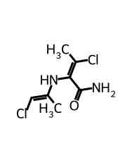 C/C(=C\Cl)N/C(C(N)=O)=C(\C)Cl